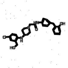 O=C(CN1CCC(Nc2ccc(Cl)cc2CO)CC1)Nc1ccc(Cc2ccccc2O)cc1